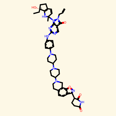 C=CCn1c(=O)c2cnc(Nc3ccc(N4CCC(N5CCC(N6CCc7ccc8c(C9CCC(=O)NC9=O)noc8c7C6)CC5)CC4)cc3)nc2n1C1(C)C=CC2=C(N1)[C@@](O)(CC)CC2